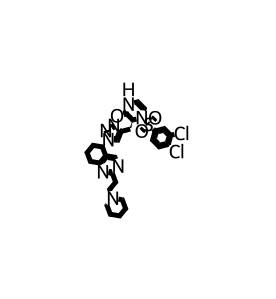 O=C1NC=CN(S(=O)(=O)c2ccc(Cl)c(Cl)c2)[C@@H]1Cc1cn([C@@H]2CCCc3nc(CCN4CCCCC4)ncc32)nn1